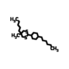 CCCCCCC1CCC(C2SCC(C)(CCCCC)CS2)CC1